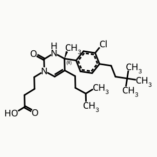 CC(C)CCC1=CN(CCCC(=O)O)C(=O)N[C@]1(C)c1ccc(CCC(C)(C)C)c(Cl)c1